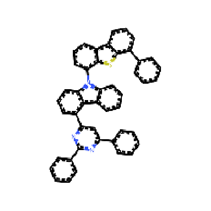 c1ccc(-c2cc(-c3cccc4c3c3ccccc3n4-c3cccc4c3sc3c(-c5ccccc5)cccc34)nc(-c3ccccc3)n2)cc1